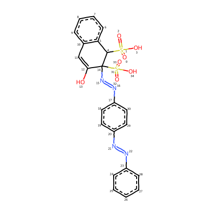 O=S(=O)(O)C1c2ccccc2C=C(O)C1(/N=N/c1ccc(/N=N/c2ccccc2)cc1)S(=O)(=O)O